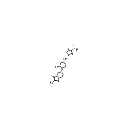 CCc1nc2ccc(-n3ccc(OCc4csc(C(F)F)n4)cc3=O)cc2n1C